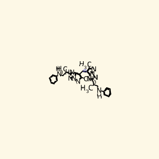 Cc1nn2nc(C(C)CNc3ccccc3)[nH]c2c1/C=c1/c(C)nn2nc(C(C)CNc3ccccc3)nc12